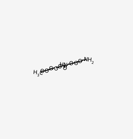 COCCOCCOCCOCCOCCC(=O)NCCCOCCOCCOCCCN